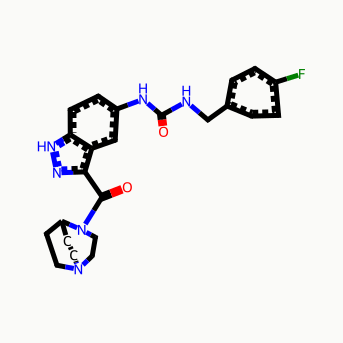 O=C(NCc1ccc(F)cc1)Nc1ccc2[nH]nc(C(=O)N3CCN4CCC3CC4)c2c1